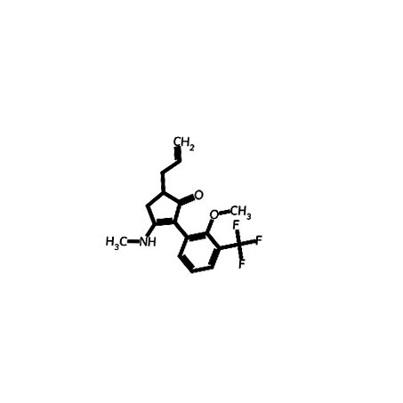 C=CCC1CC(NC)=C(c2cccc(C(F)(F)F)c2OC)C1=O